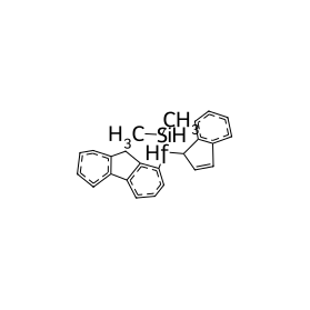 C[SiH](C)[Hf]([c]1cccc2c1Cc1ccccc1-2)[CH]1C=Cc2ccccc21